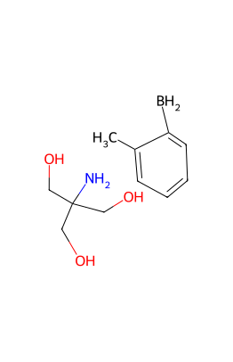 Bc1ccccc1C.NC(CO)(CO)CO